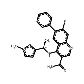 C[C@@H](Nc1c(C(N)=O)cnc2cc(F)c(-c3cccnc3)cc12)c1ccn(C)n1